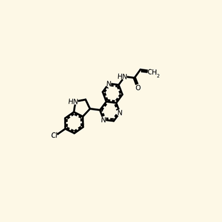 C=CC(=O)Nc1cc2ncnc(C3CNc4cc(Cl)ccc43)c2cn1